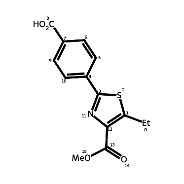 CCc1sc(-c2ccc(C(=O)O)cc2)nc1C(=O)OC